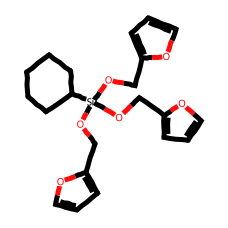 c1coc(CO[Si](OCc2ccco2)(OCc2ccco2)C2CCCCC2)c1